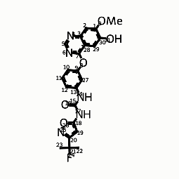 COc1cc2ncnc(Oc3cccc(NC(=O)Nc4cc(C(C)(C)F)no4)c3)c2cc1O